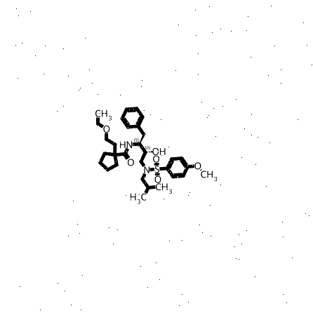 CCOCCC1(C(=O)N[C@@H](Cc2ccccc2)[C@H](O)CN(CC(C)C)S(=O)(=O)c2ccc(OC)cc2)CCCC1